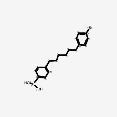 OB(O)c1ccc(CCCCCCc2ccc(Br)cc2)cc1